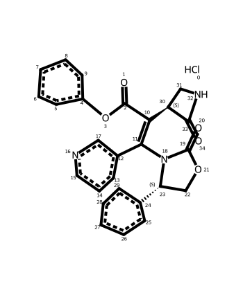 Cl.O=C(Oc1ccccc1)C(=C(c1cccnc1)N1C(=O)OC[C@@H]1c1ccccc1)[C@H]1CNC1=O